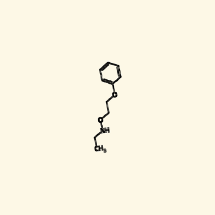 CCNOCCOc1ccccc1